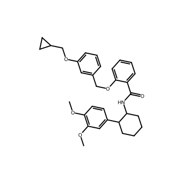 COc1ccc(C2CCCCC2NC(=O)c2ccccc2OCc2cccc(OCC3CC3)c2)cc1OC